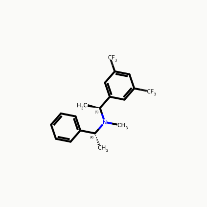 C[C@H](c1ccccc1)N(C)[C@@H](C)c1cc(C(F)(F)F)cc(C(F)(F)F)c1